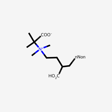 CCCCCCCCCCC(CC[N+](C)(C)C(C)(C)C(=O)[O-])C(=O)O